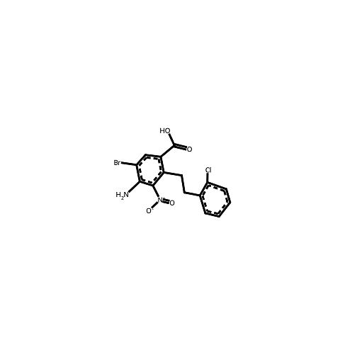 Nc1c(Br)cc(C(=O)O)c(CCc2ccccc2Cl)c1[N+](=O)[O-]